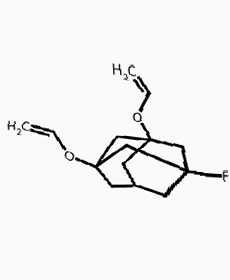 C=COC12CC3CC(F)(C1)CC(OC=C)(C3)C2